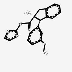 COc1cccc([C@@H]2c3ccccc3C[C@]2(C)C(=O)Nc2nccs2)c1